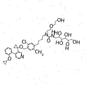 Cc1cc(COC2(c3cnccc3-c3ccccc3OC3CC3)CC2)c(Cl)cc1CCCCN(CCOCCO)C(=O)NCC(O)C(O)C(O)C(O)CO